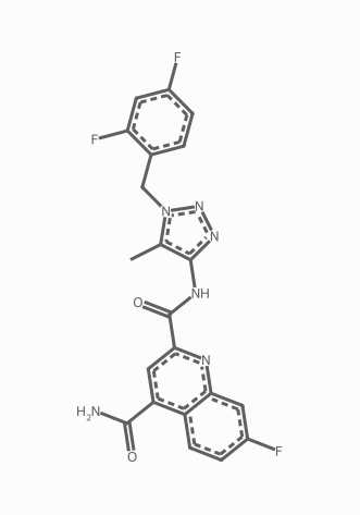 Cc1c(NC(=O)c2cc(C(N)=O)c3ccc(F)cc3n2)nnn1Cc1ccc(F)cc1F